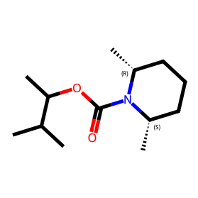 CC(C)C(C)OC(=O)N1[C@H](C)CCC[C@@H]1C